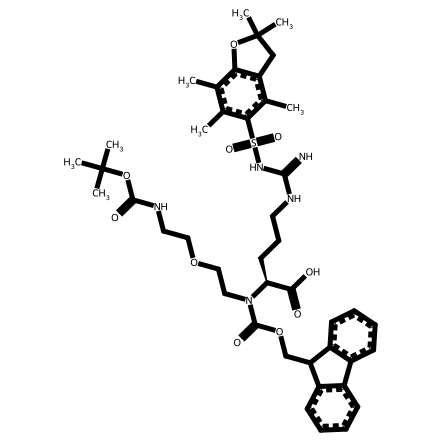 Cc1c(C)c(S(=O)(=O)NC(=N)NCCC[C@@H](C(=O)O)N(CCOCCNC(=O)OC(C)(C)C)C(=O)OCC2c3ccccc3-c3ccccc32)c(C)c2c1OC(C)(C)C2